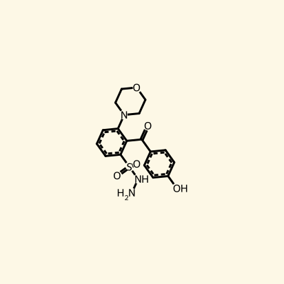 NNS(=O)(=O)c1cccc(N2CCOCC2)c1C(=O)c1ccc(O)cc1